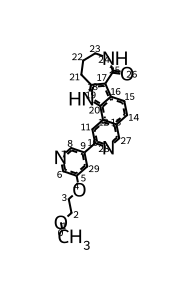 COCCOc1cncc(-c2cc3c(ccc4c5c([nH]c43)CCCNC5=O)cn2)c1